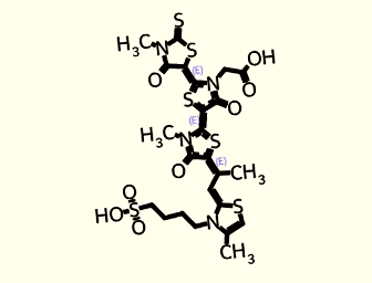 CC1=CSC(=C/C(C)=c2/s/c(=c3/s/c(=C4/SC(=S)N(C)C4=O)n(CC(=O)O)c3=O)n(C)c2=O)N1CCCCS(=O)(=O)O